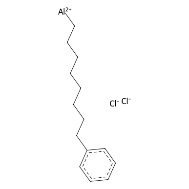 [Al+2][CH2]CCCCCCCc1ccccc1.[Cl-].[Cl-]